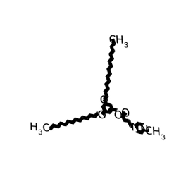 CCCCCCCCCCCCCCCCOc1cc(COC(=O)CCCN2CCN(C)CC2)cc(OCCCCCCCCCCCCCCC)c1